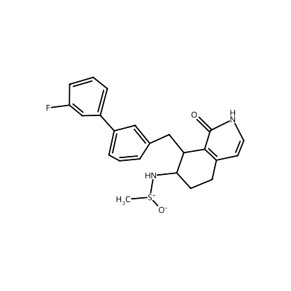 C[S+]([O-])NC1CCc2cc[nH]c(=O)c2C1Cc1cccc(-c2cccc(F)c2)c1